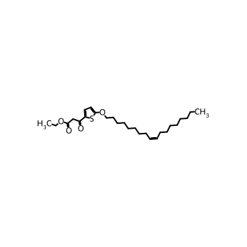 CCCCCCCC/C=C\CCCCCCCCOc1ccc(C(=O)CC(=O)OCC)s1